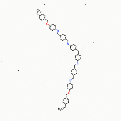 C=Cc1ccc(COc2ccc(N=Cc3ccc(C=Nc4ccc(Cc5ccc(N=Cc6ccc(C=Nc7ccc(OCc8ccc(C=C)cc8)cc7)cc6)cc5)cc4)cc3)cc2)cc1